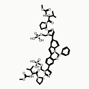 COC(=O)N[C@H](C(=O)N1CCC[C@H]1c1ncc(C2=CC3C=C4c5ccc(-c6cnc([C@@H]7CCCN7C(=O)[C@@H](NC(=O)OC)C(C)C)n6COP(=O)(O)O)cc5O[C@@H](c5ccccc5)N4C3C=C2)n1COP(=O)(O)O)C(C)C